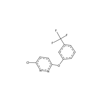 FC(F)(F)c1cccc(Oc2ccc(Cl)nn2)c1